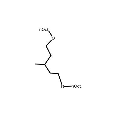 CCCCCCCCOCCC(C)CCOCCCCCCCC